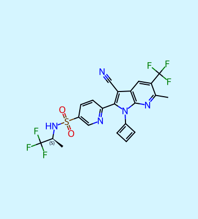 Cc1nc2c(cc1C(F)(F)F)c(C#N)c(-c1ccc(S(=O)(=O)N[C@@H](C)C(F)(F)F)cn1)n2C1=CC=C1